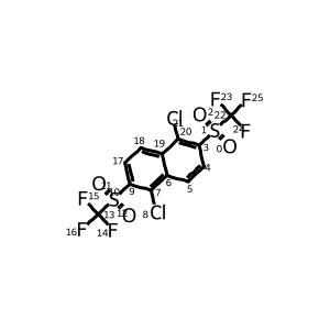 O=S(=O)(c1ccc2c(Cl)c(S(=O)(=O)C(F)(F)F)ccc2c1Cl)C(F)(F)F